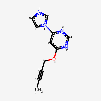 CC#CCOc1cc(-n2ccnc2)ncn1